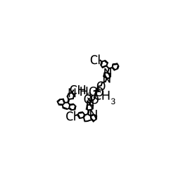 CCOC(=O)N1CCC(=C2c3ccc(Cl)cc3CCc3cccnc32)CC1.CN1CCC(=C2c3ccccc3C=Cc3ccccc32)CC1.O=C(O)COCCN1CCN(C(c2ccccc2)c2ccc(Cl)cc2)CC1